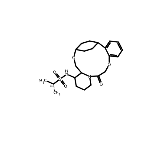 C[C@@H](C(F)(F)F)S(=O)(=O)NC1CCCN2C(=O)COc3ccccc3C3CCC(CC3)OCC12